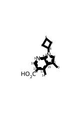 Cc1cn(C2CCC2)c2ncc(C(=O)O)c(C)c12